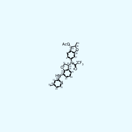 CC(=O)O[C@H]1c2ccc(N(C(=O)C(F)(F)F)[C@@H]3COc4c(Nc5cc(C)ccn5)cccc43)cc2OC1C